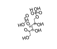 O=C(CO)[C@@H](O)[C@H](O)[C@H](O)COP(=O)(O)O.O=CCO